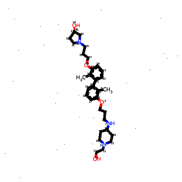 Cc1c(OCCCNC2CCN(CCO)CC2)cccc1-c1cccc(OCCCN2CC[C@@H](O)C2)c1C